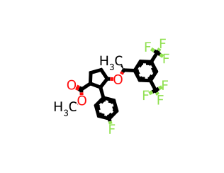 COC(=O)C1CCC(O[C@H](C)c2cc(C(F)(F)F)cc(C(F)(F)F)c2)C1c1ccc(F)cc1